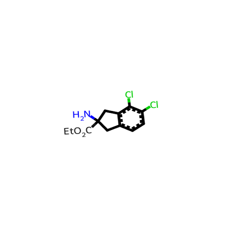 CCOC(=O)C1(N)Cc2ccc(Cl)c(Cl)c2C1